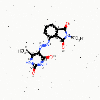 O=C(O)N1C(=O)c2cccc(N=Nc3c(S(=O)(=O)O)[nH]c(=O)[nH]c3=O)c2C1=O